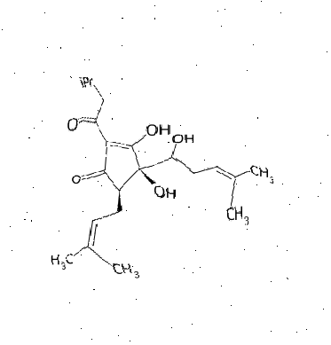 CC(C)=CCC(O)[C@@]1(O)C(O)=C(C(=O)CC(C)C)C(=O)[C@@H]1CC=C(C)C